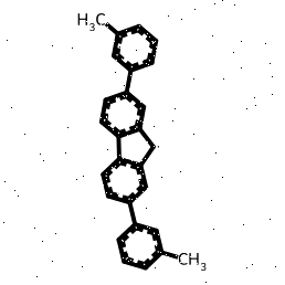 Cc1cccc(-c2ccc3c(c2)[CH]c2cc(-c4cccc(C)c4)ccc2-3)c1